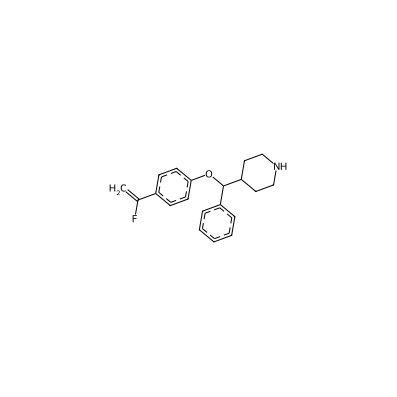 C=C(F)c1ccc(OC(c2ccccc2)C2CCNCC2)cc1